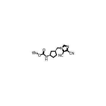 CC(C)(C)OC(=O)N[C@@H]1CC[C@H](Cn2cnc(C#N)c2C#N)C1